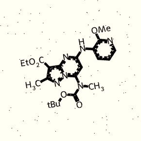 CCOC(=O)c1c(C)nn2c(N(C)C(=O)OC(C)(C)C)cc(Nc3cccnc3OC)nc12